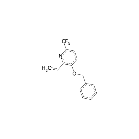 C=Cc1nc(C(F)(F)F)ccc1OCc1ccccc1